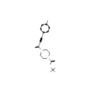 CC(C)(C)OC(=O)N1CCN(C(=O)C#Cc2ccc(Br)cc2)CC1